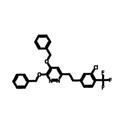 FC(F)(F)c1ccc(CCc2cc(OCc3ccccc3)c(OCc3ccccc3)nn2)cc1Cl